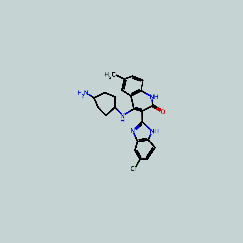 Cc1ccc2[nH]c(=O)c(-c3nc4cc(Cl)ccc4[nH]3)c(NC3CCC(N)CC3)c2c1